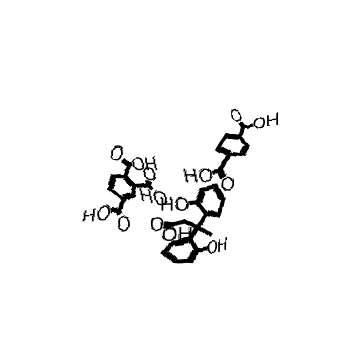 CC(CC(=O)O)(c1ccccc1O)c1ccccc1O.O=C(O)c1ccc(C(=O)O)c(C(=O)O)c1.O=C(O)c1ccc(C(=O)O)cc1